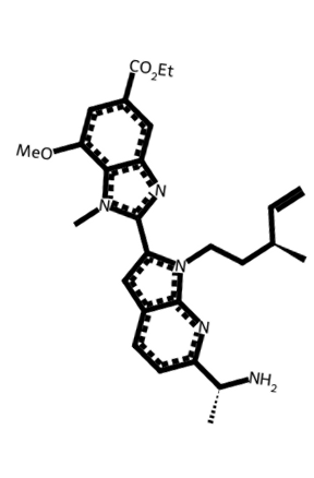 C=C[C@@H](C)CCn1c(-c2nc3cc(C(=O)OCC)cc(OC)c3n2C)cc2ccc([C@@H](C)N)nc21